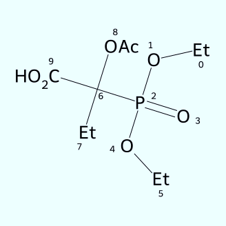 CCOP(=O)(OCC)C(CC)(OC(C)=O)C(=O)O